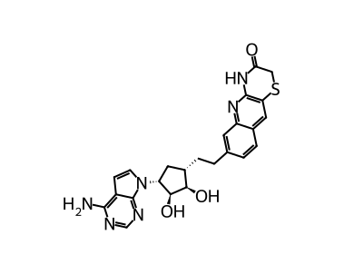 Nc1ncnc2c1ccn2[C@@H]1C[C@H](CCc2ccc3cc4c(nc3c2)NC(=O)CS4)[C@@H](O)[C@H]1O